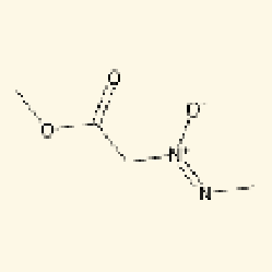 C/N=[N+](\[O-])CC(=O)OC